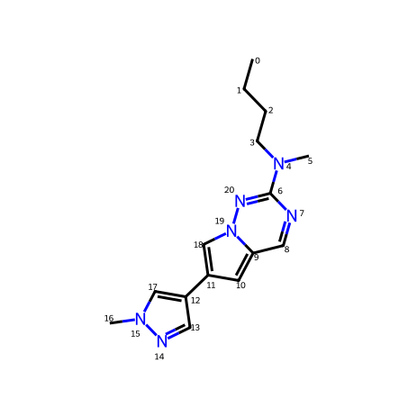 CCCCN(C)c1ncc2cc(-c3cnn(C)c3)cn2n1